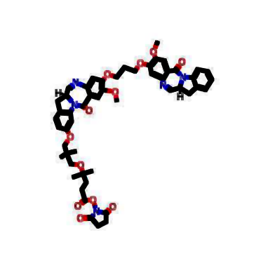 COc1cc2c(cc1OCCCOc1cc3c(cc1OC)C(=O)N1c4cc(OCC(C)(C)COC(C)(C)CCC(=O)ON5C(=O)CCC5=O)ccc4C[C@H]1C=N3)N=C[C@@H]1Cc3ccccc3N1C2=O